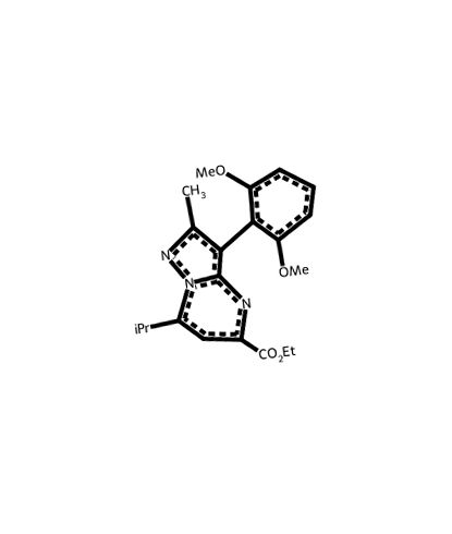 CCOC(=O)c1cc(C(C)C)n2nc(C)c(-c3c(OC)cccc3OC)c2n1